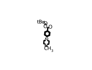 CN1CCN(c2ccc(C(=O)OOC(C)(C)C)cc2)CC1